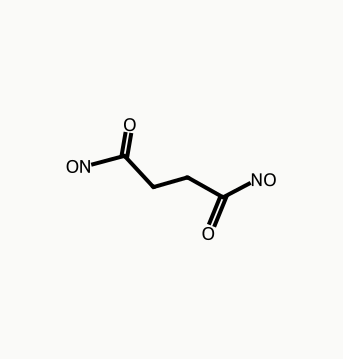 O=NC(=O)CCC(=O)N=O